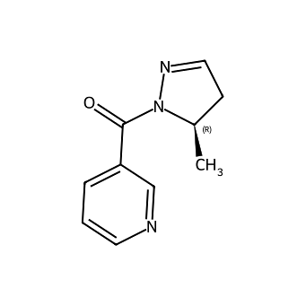 C[C@@H]1CC=NN1C(=O)c1cccnc1